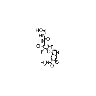 COc1cc2nccc(Oc3c(F)cc(NC(=O)NC[C@@H](C)O)c(Cl)c3F)c2cc1C(N)=O